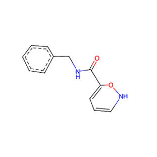 O=C(NCc1ccccc1)C1=CC=CNO1